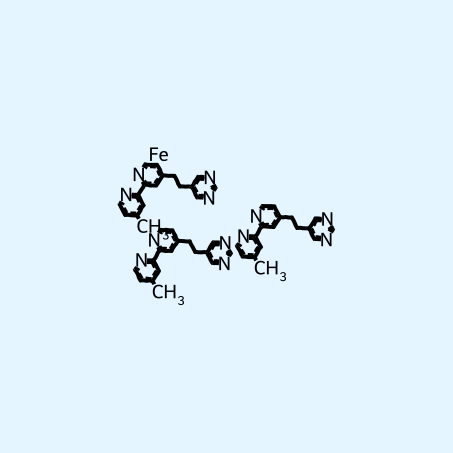 Cc1ccnc(-c2cc(CCc3cncnc3)ccn2)c1.Cc1ccnc(-c2cc(CCc3cncnc3)ccn2)c1.Cc1ccnc(-c2cc(CCc3cncnc3)ccn2)c1.[Fe]